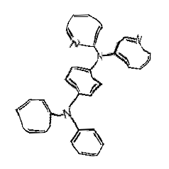 c1ccc(N(c2ccccc2)c2ccc(N(c3cccnc3)c3ccccn3)cc2)cc1